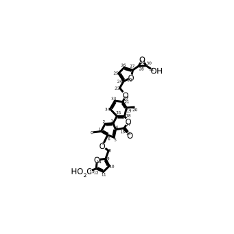 Cc1cc2c(cc1OCc1ccc(C(=O)O)o1)c(=O)oc1c(C)c(OCc3ccc(C4OC4O)o3)ccc12